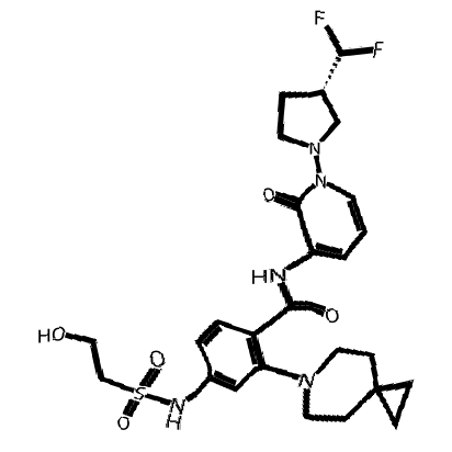 O=C(Nc1cccn(N2CC[C@H](C(F)F)C2)c1=O)c1ccc(NS(=O)(=O)CCO)cc1N1CCC2(CC1)CC2